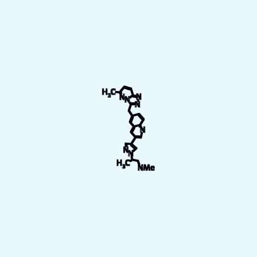 CNCC(C)n1cc(-c2cnc3ccc(Cc4nnc5ccc(C)nn45)cc3c2)cn1